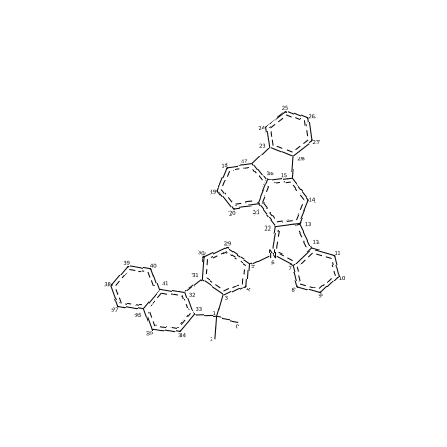 CC1(C)c2cc(-n3c4ccccc4c4cc5c6c(cccc6c43)-c3ccccc3-5)ccc2-c2c1ccc1ccccc21